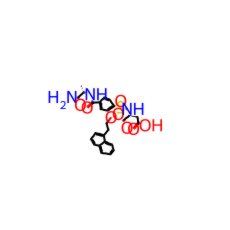 C[C@H](NC(=O)c1ccc(S(=O)(=O)N[C@H](C=O)CC(=O)O)c(OCCc2cccc3ccccc23)c1)C(N)=O